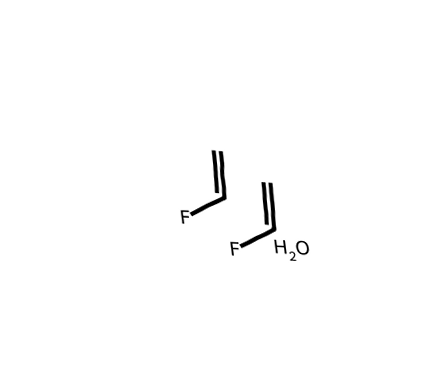 C=CF.C=CF.O